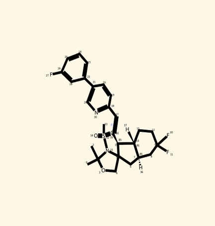 CC1(C)OCC2(C[C@@H]3CC(F)(F)CC[C@H]3[C@@H]2/C=C/c2ccc(-c3cccc(F)c3)cn2)N1S(C)(=O)=O